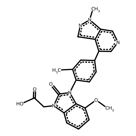 COc1cccc2c1n(-c1ccc(-c3cncc4c3cnn4C)cc1C)c(=O)n2CC(=O)O